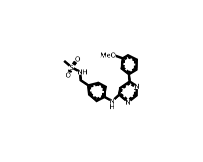 COc1cccc(-c2cc(Nc3ccc(CNS(C)(=O)=O)cc3)ncn2)c1